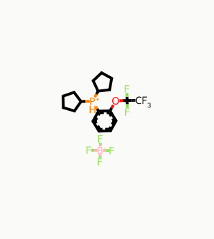 FC(F)(F)C(F)(F)Oc1ccccc1[PH+](C1CCCC1)C1CCCC1.F[B-](F)(F)F